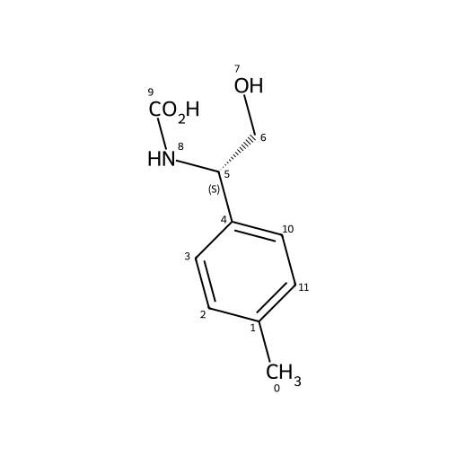 Cc1ccc([C@@H](CO)NC(=O)O)cc1